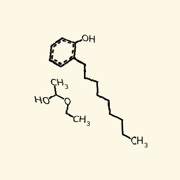 CCCCCCCCCc1ccccc1O.CCOC(C)O